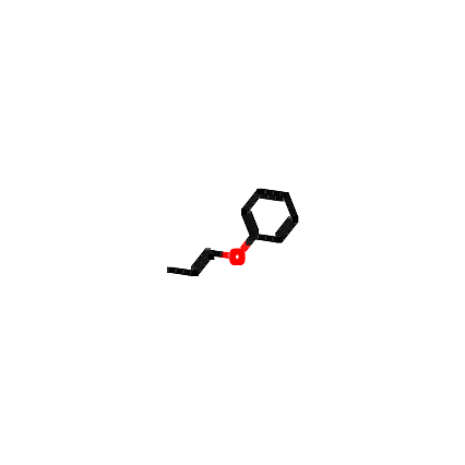 C/C=[C]/Oc1ccccc1